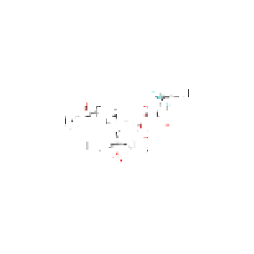 CC(C)(O)CC1CC(C(=O)OC(O)C(F)(F)S(=O)(=O)O)C1C(C)(C)O